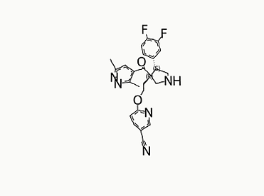 Cc1cc(C(=O)[C@@]2(CCOc3ccc(C#N)cn3)CNC[C@H]2c2ccc(F)c(F)c2)c(C)nn1